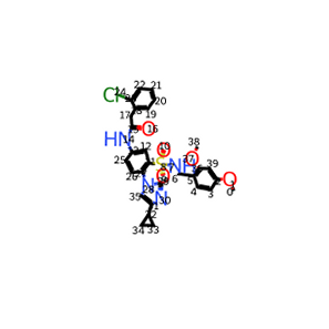 COc1ccc(CNS(=O)(=O)c2cc(NC(=O)Cc3ccccc3Cl)ccc2-n2cnc(C3CC3)c2)c(OC)c1